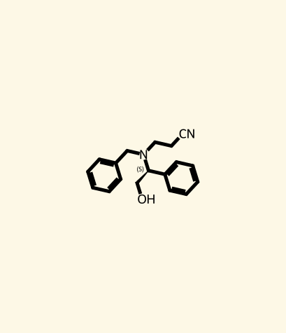 N#CCCN(Cc1ccccc1)[C@H](CO)c1ccccc1